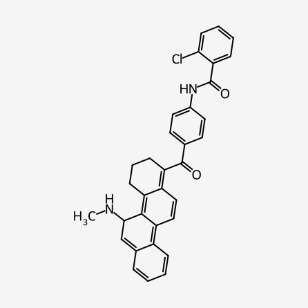 CNC1C=c2ccccc2=c2ccc3c(c21)CCCC=3C(=O)c1ccc(NC(=O)c2ccccc2Cl)cc1